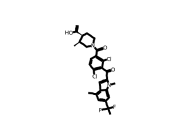 C=C(O)[C@H]1CCN(C(=O)c2ccc(Cl)c(C(=O)c3cc4c(C)cc(C(C)(F)F)cc4n3C)c2Cl)C[C@H]1C